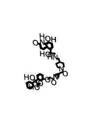 O=C(COc1cccc([C@](O)(C(=O)O)c2ccccc2)c1)N1CC(C(=O)N2CCC(CNC[C@H](O)c3ccc(O)c4[nH]c(=O)ccc34)CC2)C1